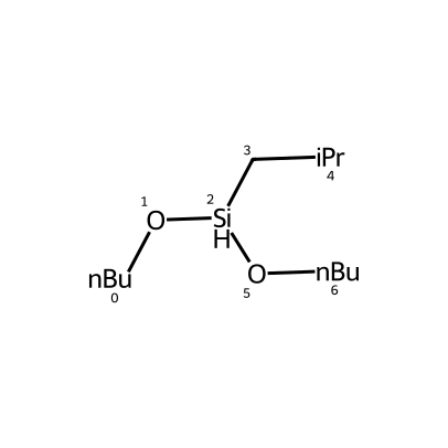 CCCCO[SiH](CC(C)C)OCCCC